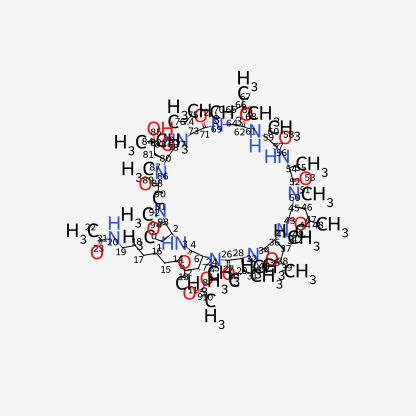 CC[C@@H]1NC(=O)[C@H]([C@H](OC(C)=O)[C@H](C)CCCCCCNC(C)=O)N(C)C(=O)[C@H](C(C)C)N(C)C(=O)[C@H](CC(C)C)N(C)C(=O)[C@H](CC(C)C)N(C)C(=O)[C@H](C)NC(=O)[C@@H](C)NC(=O)[C@@H](CC(C)C)N(C)C(=O)[C@@H](C(C)C)NC(=O)[C@H](CC(C)(C)O)N(C)C(=O)CN(C)C1=O